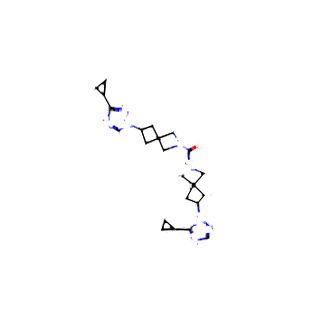 O=C(N1CC2(CC(n3cnc(C4CC4)n3)C2)C1)N1CC2(CC(n3ncnc3C3CC3)C2)C1